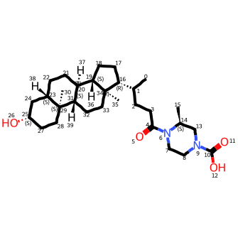 CC(CCC(=O)N1CCN(C(=O)O)C[C@@H]1C)[C@H]1CC[C@H]2[C@@H]3CC[C@H]4C[C@@H](O)CC[C@]4(C)[C@H]3CC[C@]12C